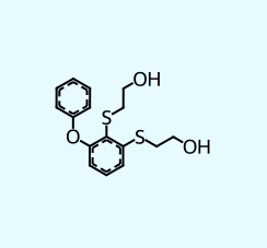 OCCSc1cccc(Oc2ccccc2)c1SCCO